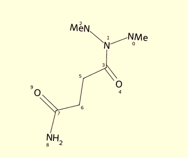 CNN(NC)C(=O)CCC(N)=O